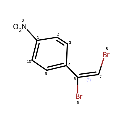 O=[N+]([O-])c1ccc(/C(Br)=C\Br)cc1